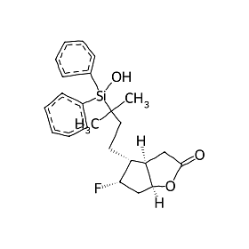 CC(C)(CC[C@@H]1[C@H]2CC(=O)O[C@H]2C[C@@H]1F)[Si](O)(c1ccccc1)c1ccccc1